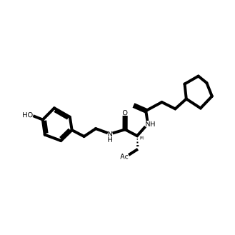 C=C(CCC1CCCCC1)N[C@H](CC(C)=O)C(=O)NCCc1ccc(O)cc1